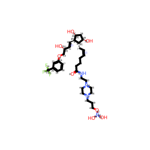 O=C(CCC/C=C\C[C@@H]1[C@@H](/C=C/[C@@H](O)COc2cccc(C(F)(F)F)c2)[C@H](O)C[C@@H]1O)NCCN1CCN(CCCON(O)O)CC1